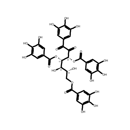 O=C(OC[C@@H](O)[C@@H](O)[C@H](OC(=O)c1cc(O)c(O)c(O)c1)[C@@H](OC(=O)c1cc(O)c(O)c(O)c1)C(=O)C(=O)c1cc(O)c(O)c(O)c1)c1cc(O)c(O)c(O)c1